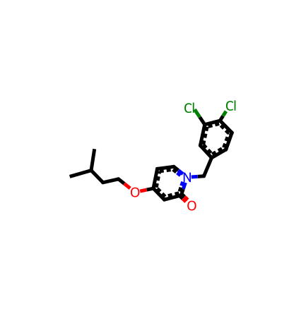 CC(C)CCOc1ccn(Cc2ccc(Cl)c(Cl)c2)c(=O)c1